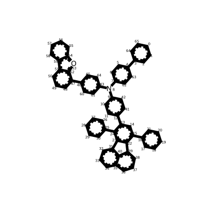 c1ccc(-c2ccc(N(c3ccc(-c4cc(-c5ccccc5)c5c(c4-c4ccccc4)-c4cccc6cccc-5c46)cc3)c3ccc(-c4cccc5c4oc4ccccc45)cc3)cc2)cc1